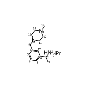 CC(C)NC(C)c1cccc(CN2CCN(C)CC2)c1